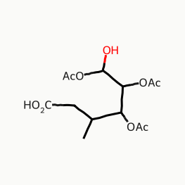 CC(=O)OC(O)C(OC(C)=O)C(OC(C)=O)C(C)CC(=O)O